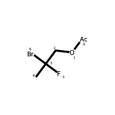 CC(=O)OCC(C)(F)Br